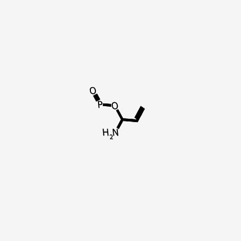 C=CC(N)OP=O